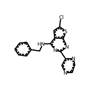 Clc1cc2c(NCc3ccccc3)nc(-c3cnccn3)nc2s1